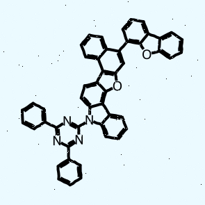 c1ccc(-c2nc(-c3ccccc3)nc(-n3c4ccccc4c4c5oc6cc(-c7cccc8c7oc7ccccc78)c7ccccc7c6c5ccc43)n2)cc1